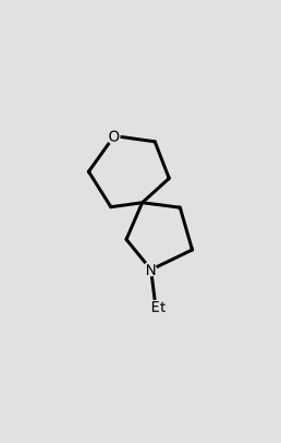 CCN1CCC2(CCOCC2)C1